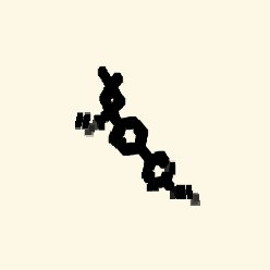 CC1(C)CC(N)(c2ccc(-c3cnc(N)nc3)cc2)C1